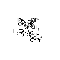 BOC(=O)CCC(CP(OC(C)OC(=O)OC(C)C)OC(C)OC(=O)OC(C)C)C(=O)OC(C)OC(=O)OC(C)C